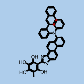 Cc1c(O)c(O)c(O)c(-c2nc3c(ccc4c5cccc(N(c6ccccc6)c6ccccc6-c6ccc7ccccc7c6)c5ccc43)s2)c1O